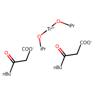 CC(C)[O][Ti+2][O]C(C)C.CCCCC(=O)CC(=O)[O-].CCCCC(=O)CC(=O)[O-]